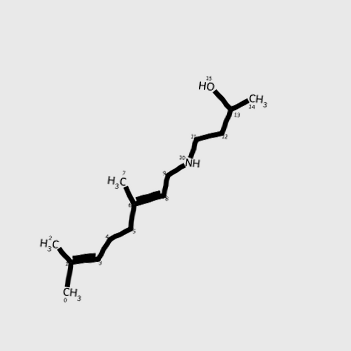 CC(C)=CCC/C(C)=C/CNCCC(C)O